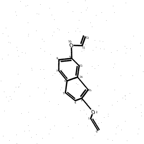 C=COc1ccc2ccc(OC=C)cc2c1